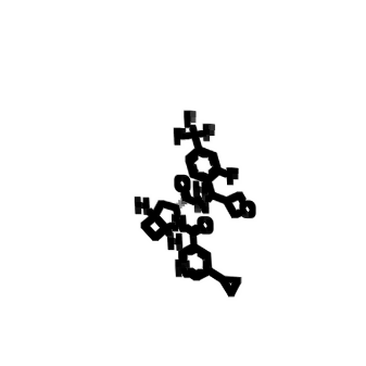 O=C(N[C@@H](c1ccc(C(F)(F)F)cc1F)C1COC1)[C@H]1C[C@H]2CC[C@H]2N1C(=O)c1cncc(C2CC2)c1